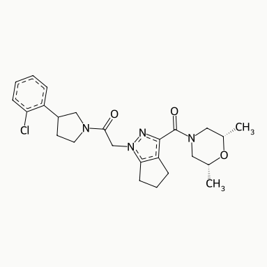 C[C@@H]1CN(C(=O)c2nn(CC(=O)N3CCC(c4ccccc4Cl)C3)c3c2CCC3)C[C@H](C)O1